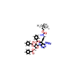 C[Si](C)(C)CCOC(=O)NCC#Cc1cn([C@@H]2O[C@H](COC(=O)c3ccccc3)[C@@H](OC(=O)c3ccccc3)[C@H]2OC(=O)c2ccccc2)c2ncnc(N=[N+]=[N-])c12